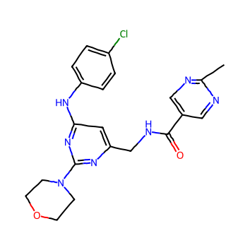 Cc1ncc(C(=O)NCc2cc(Nc3ccc(Cl)cc3)nc(N3CCOCC3)n2)cn1